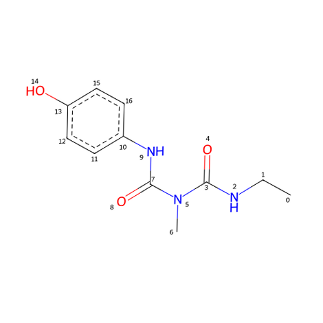 CCNC(=O)N(C)C(=O)Nc1ccc(O)cc1